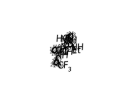 CCNc1cc(C(=O)N[C@@H](Cc2ccccc2)[C@@H](O)CNCc2cccc(C(F)(F)F)c2)c(F)c(N2CCCCS2(O)O)c1